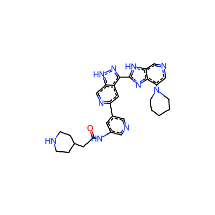 O=C(CC1CCNCC1)Nc1cncc(-c2cc3c(-c4nc5c(N6CCCCC6)cncc5[nH]4)n[nH]c3cn2)c1